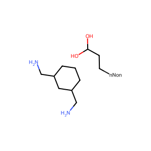 CCCCCCCCCCCC(O)O.NCC1CCCC(CN)C1